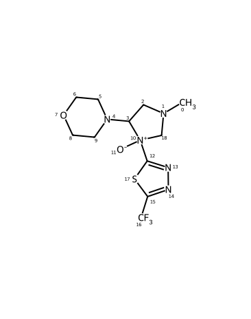 CN1CC(N2CCOCC2)[N+]([O-])(c2nnc(C(F)(F)F)s2)C1